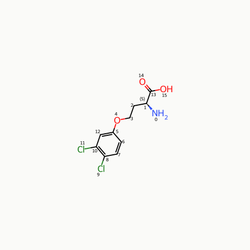 N[C@@H](CCOc1ccc(Cl)c(Cl)c1)C(=O)O